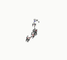 C/C=C/CCc1cc(F)c(C#Cc2cc(F)c(C(F)(F)Oc3cc(F)c(C#Cc4cc(F)c(C(F)(F)F)c(F)c4)c(F)c3)c(F)c2)c(F)c1